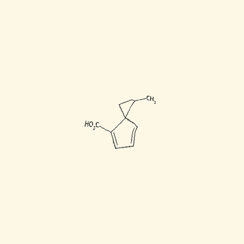 CC1CC12C=CC=C2C(=O)O